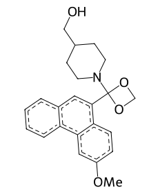 COc1ccc2c(C3(N4CCC(CO)CC4)OCO3)cc3ccccc3c2c1